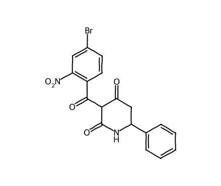 O=C1CC(c2ccccc2)NC(=O)C1C(=O)c1ccc(Br)cc1[N+](=O)[O-]